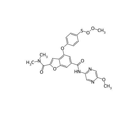 COOSc1ccc(Oc2cc(C(=O)Nc3cnc(OC)cn3)cc3oc(C(=O)N(C)C)cc23)cc1